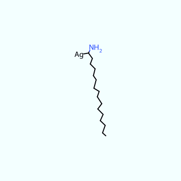 CCCCCCCCCCCCCCC[CH](N)[Ag]